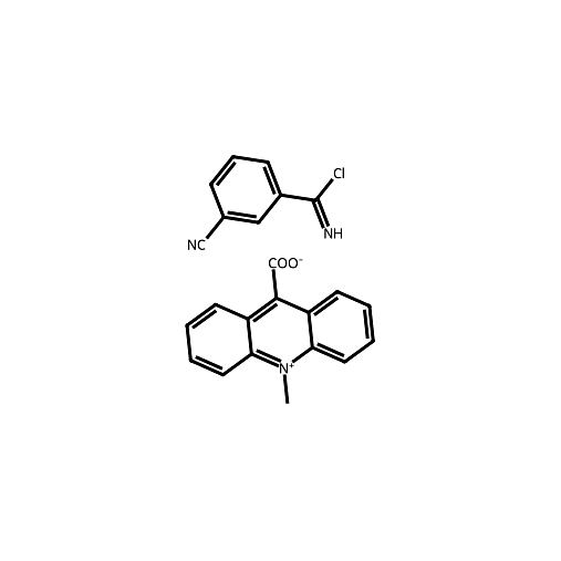 C[n+]1c2ccccc2c(C(=O)[O-])c2ccccc21.N#Cc1cccc(C(=N)Cl)c1